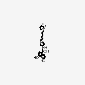 CC1CCN(CCCCCCN2CCC(NC[C@@H](O)c3ccc(O)c4[nH]c(=O)ccc34)CC2)CC1